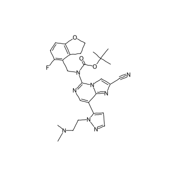 CN(C)CCn1nccc1-c1cnc(N(Cc2c(F)ccc3c2CCO3)C(=O)OC(C)(C)C)n2cc(C#N)nc12